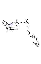 CNCCCN1CCN(CCCN(C)C(=O)CCc2c(C)[nH]c(/C=C3\C(=O)Nc4ccccc43)c2C)CC1